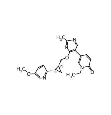 CCn1cc(-c2cnc(C)nc2OC[C@H]2C[C@@H]2c2ccc(OC)cn2)ccc1=O